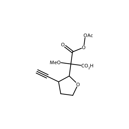 C#CC1CCOC1C(OC)(C(=O)O)C(=O)OOC(C)=O